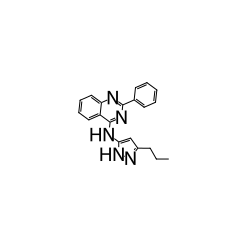 CCCc1cc(Nc2nc(-c3ccccc3)nc3ccccc23)[nH]n1